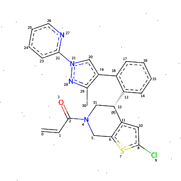 C=CC(=O)N1Cc2sc(Cl)cc2[C@@H](c2ccccc2-c2cn(-c3ccccn3)nc2C)C1